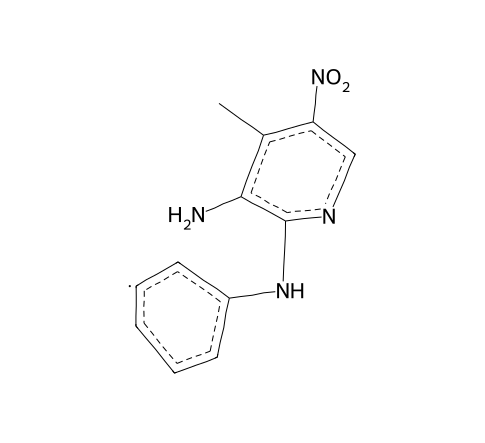 Cc1c([N+](=O)[O-])cnc(Nc2c[c]ccc2)c1N